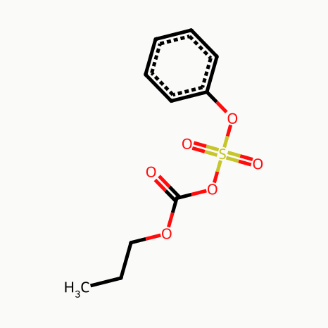 CCCOC(=O)OS(=O)(=O)Oc1ccccc1